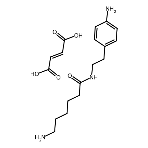 NCCCCCC(=O)NCCc1ccc(N)cc1.O=C(O)/C=C/C(=O)O